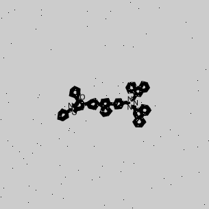 c1ccc(-c2nc3c(cc(-c4ccc(-c5ccc(-c6ccc(-c7nc(-c8cc9ccccc9c9ccccc89)nc(-c8cc9ccccc9c9ccccc89)n7)cc6)c6ccccc56)cc4)c4oc5ccccc5c43)o2)cc1